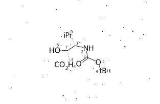 CC(C)[C@H](NC(=O)OC(C)(C)C)[C@@H](O)C(=O)O